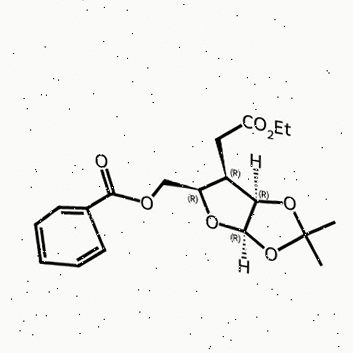 CCOC(=O)C[C@H]1[C@H]2OC(C)(C)O[C@H]2O[C@H]1COC(=O)c1ccccc1